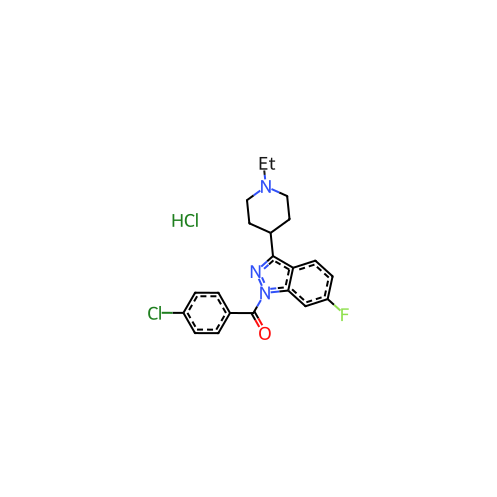 CCN1CCC(c2nn(C(=O)c3ccc(Cl)cc3)c3cc(F)ccc23)CC1.Cl